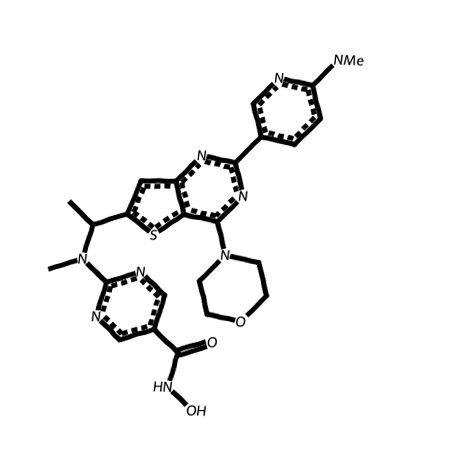 CNc1ccc(-c2nc(N3CCOCC3)c3sc(C(C)N(C)c4ncc(C(=O)NO)cn4)cc3n2)cn1